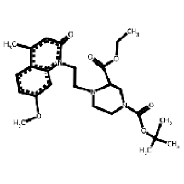 CCOC(=O)C1CN(C(=O)OC(C)(C)C)CCN1CCn1c(=O)cc(C)c2ccc(OC)cc21